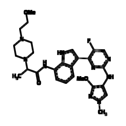 COCCN1CCN(C(C)C(=O)Nc2cccc3c(-c4nc(Nc5cn(C)nc5OC)ncc4F)c[nH]c23)CC1